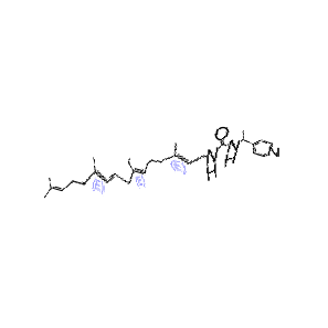 CC(C)=CCC/C(C)=C/CC/C(C)=C/CC/C(C)=C/CNC(=O)NC(C)c1ccncc1